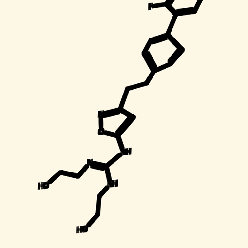 OCCN=C(NCCO)Nc1cc(CCc2ccc(-c3ccccc3F)cc2)no1